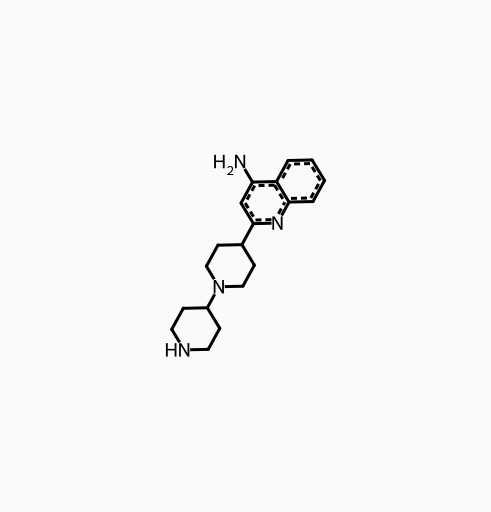 Nc1cc(C2CCN(C3CCNCC3)CC2)nc2ccccc12